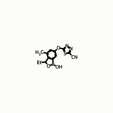 CCC1OB(O)c2cc(Oc3nnc(C#N)s3)cc(C)c21